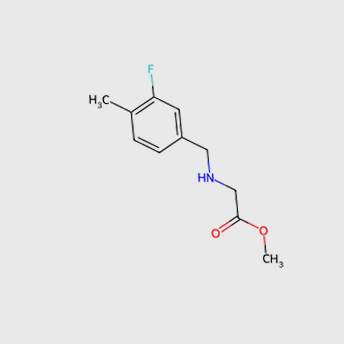 COC(=O)CNCc1ccc(C)c(F)c1